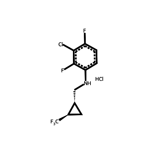 Cl.Fc1ccc(NC[C@@H]2C[C@H]2C(F)(F)F)c(F)c1Cl